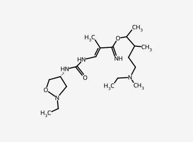 CCN(C)CCC(C)C(C)OC(=N)/C(C)=C/NC(=O)N[C@H]1CON(CC)C1